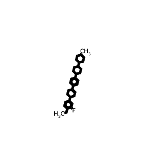 CCc1ccc(C2CC=C(c3ccc(C4CCC(C5CCC(C)CC5)CC4)cc3)CC2)cc1F